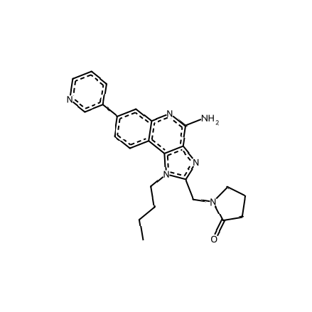 CCCCn1c(CN2CCCC2=O)nc2c(N)nc3cc(-c4cccnc4)ccc3c21